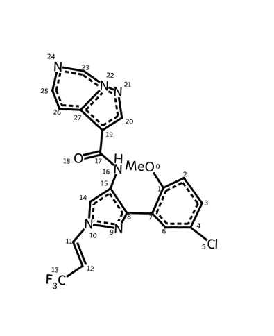 COc1ccc(Cl)cc1-c1nn(/C=C/C(F)(F)F)cc1NC(=O)c1cnn2cnccc12